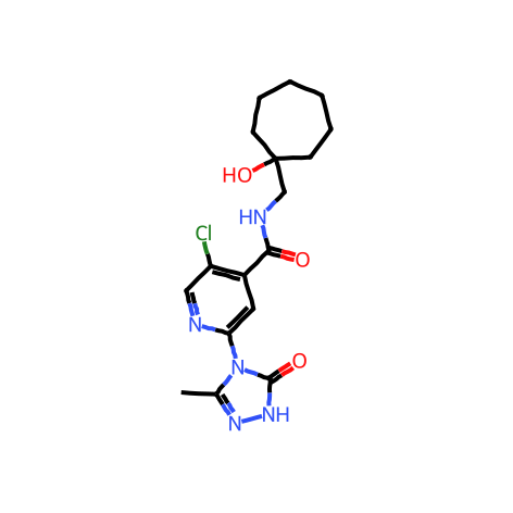 Cc1n[nH]c(=O)n1-c1cc(C(=O)NCC2(O)CCCCCC2)c(Cl)cn1